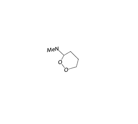 CNC1CCCOO1